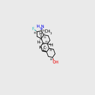 C[C@]12CC[C@H]3[C@@H](CC=C4C[C@H](O)CC[C@@]43C)[C@@H]1C[C@@H](F)[C@H]2N